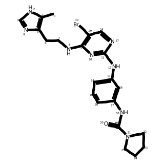 Cc1[nH]cnc1CCNc1nc(Nc2cccc(NC(=O)N3CCCC3)c2)ncc1Br